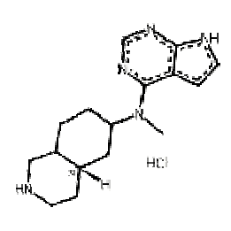 CN(c1ncnc2[nH]ccc12)C1CCC2CNCC[C@H]2C1.Cl